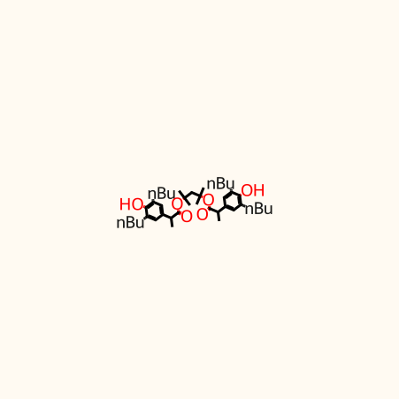 CCCCc1cc(C(C)C(=O)OC(C)(C)CC(C)(C)OC(=O)C(C)c2cc(CCCC)c(O)c(CCCC)c2)cc(CCCC)c1O